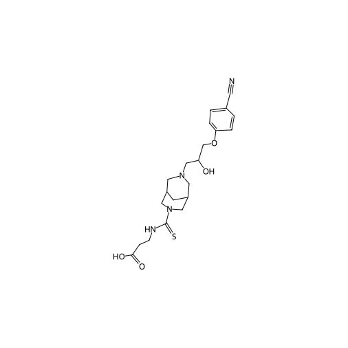 N#Cc1ccc(OCC(O)CN2CC3CC(C2)CN(C(=S)NCCC(=O)O)C3)cc1